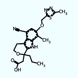 CCCC1(CC(=O)O)OCCc2c1[nH]c1c(C)c(OCc3nnc(C)s3)cc(C#N)c21